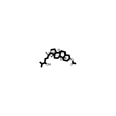 CC(=O)O[C@H]1CC[C@@]2(C)C(=CC[C@H]3[C@@H]4CC[C@H]([C@H](C)CCC(O)C(C)C)[C@@]4(C)CC[C@@H]32)C1